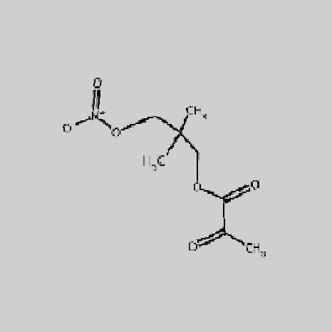 CC(=O)C(=O)OCC(C)(C)CO[N+](=O)[O-]